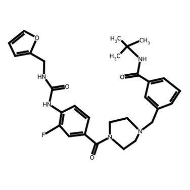 CC(C)(C)NC(=O)c1cccc(CN2CCN(C(=O)c3ccc(NC(=O)NCc4ccco4)c(F)c3)CC2)c1